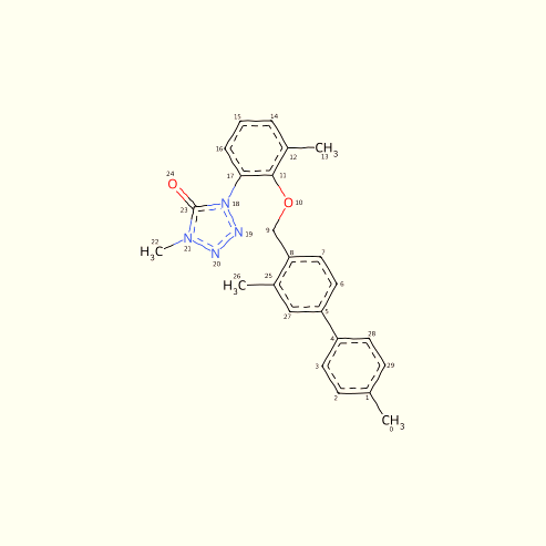 Cc1ccc(-c2ccc(COc3c(C)cccc3-n3nnn(C)c3=O)c(C)c2)cc1